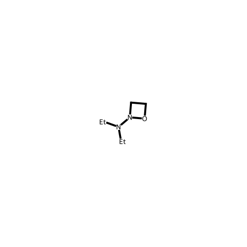 CCN(CC)N1CCO1